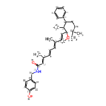 COC1(/C=C/C(C)=C/C=C/C(C)=C/C(=O)NCc2ccc(O)cc2)C(C)C(c2ccccc2)CCC1(C)C